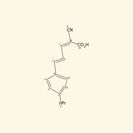 CCCc1ccc(C=CC=C(C#N)C(=O)O)cc1